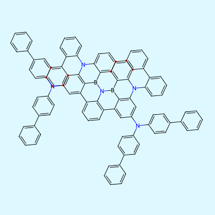 c1ccc(-c2ccc(N(c3ccc(-c4ccccc4)cc3)c3cc4c5c(c3)N(c3ccccc3-c3ccccc3)c3ccccc3B5N3B5c6ccccc6N(c6ccccc6-c6ccccc6)c6cc(N(c7ccc(-c8ccccc8)cc7)c7ccc(-c8ccccc8)cc7)cc(c65)-c5cccc-4c53)cc2)cc1